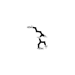 CCCCCCCCCCCCCC(=O)OC(CCCCCCCCCCC)CC(C)=O